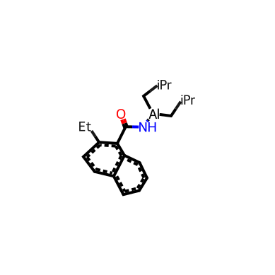 CCc1ccc2ccccc2c1C(=O)[NH][Al]([CH2]C(C)C)[CH2]C(C)C